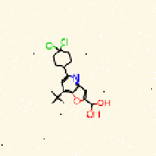 CC(C)(C)c1cc(C2CCC(Cl)(Cl)CC2)nc2cc(C(O)O)oc12